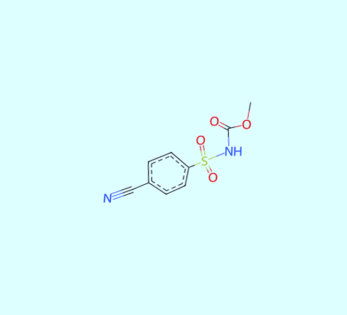 COC(=O)NS(=O)(=O)c1ccc(C#N)cc1